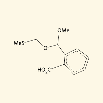 COC(OCSC)c1ccccc1C(=O)O